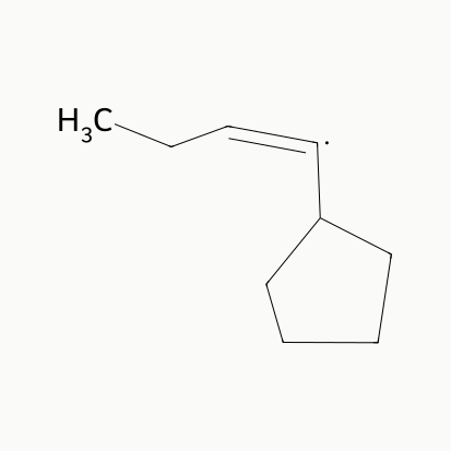 CC/C=[C]\C1CCCC1